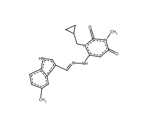 Cc1ccc2[nH]cc(C=NNc3cc(=O)n(C)c(=O)n3CC3CC3)c2c1